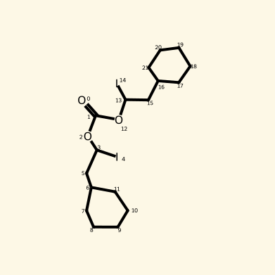 O=C(OC(I)CC1CCCCC1)OC(I)CC1CCCCC1